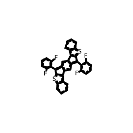 Fc1cccc(F)c1C1=c2cc3c(cc2-c2c1sc1ccccc21)=C(c1c(F)cccc1F)c1sc2ccccc2c1-3